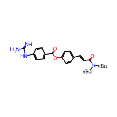 CCCCN(CCCC)C(=O)/C=C/c1ccc(OC(=O)c2ccc(NC(=N)N)cc2)cc1